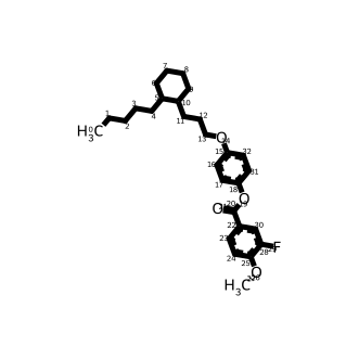 CCCCCC1CCCCC1CCCOc1ccc(OC(=O)c2ccc(OC)c(F)c2)cc1